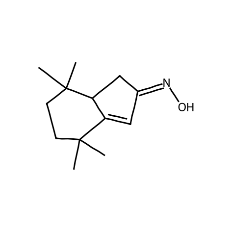 CC1(C)CCC(C)(C)C2C/C(=N/O)C=C21